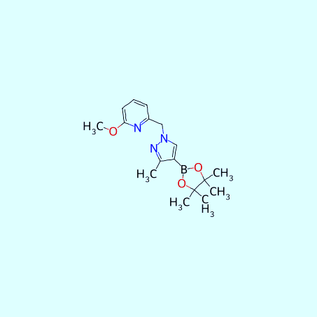 COc1cccc(Cn2cc(B3OC(C)(C)C(C)(C)O3)c(C)n2)n1